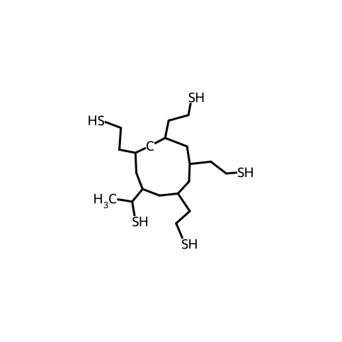 CC(S)C1CC(CCS)CC(CCS)CC(CCS)CC(CCS)C1